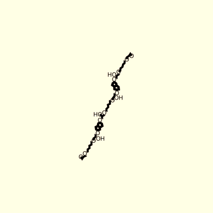 OC(COCCCCCCOCC(O)COc1ccc2cc(OCC(O)COCCCCCCOCC3CO3)ccc2c1)COc1ccc2cc(OCC(O)COCCCCCCOCC3CO3)ccc2c1